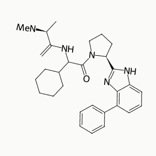 C=C(NC(C(=O)N1CCC[C@H]1c1nc2c(-c3ccccc3)cccc2[nH]1)C1CCCCC1)[C@H](C)NC